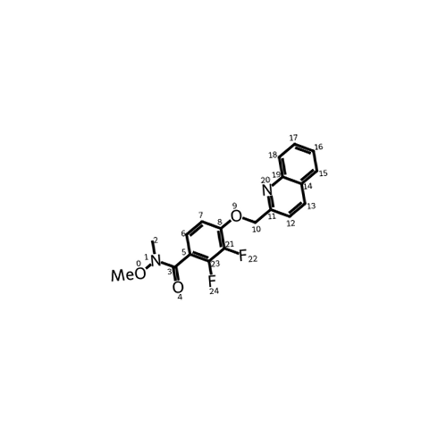 CON(C)C(=O)c1ccc(OCc2ccc3ccccc3n2)c(F)c1F